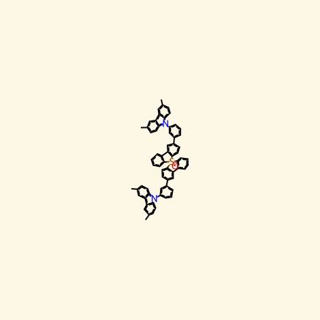 Cc1ccc2c(c1)c1cc(C)ccc1n2-c1cccc(-c2ccc3c(c2)-c2ccccc2S32(=O)c3ccccc3-c3cc(-c4cccc(-n5c6ccc(C)cc6c6cc(C)ccc65)c4)ccc32)c1